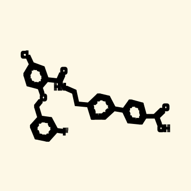 O=C(O)c1ccc(-c2ccc(CCNC(=O)c3cc(Cl)ccc3OCc3cccc(F)c3)cc2)cc1